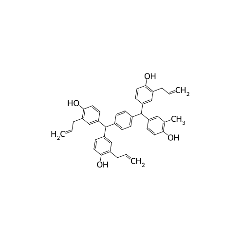 C=CCc1cc(C(c2ccc(C(c3ccc(O)c(CC=C)c3)c3ccc(O)c(CC=C)c3)cc2)c2ccc(O)c(C)c2)ccc1O